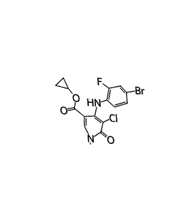 Cn1cc(C(=O)OC2CC2)c(Nc2ccc(Br)cc2F)c(Cl)c1=O